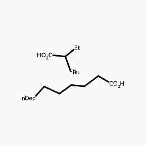 CCCCC(CC)C(=O)O.CCCCCCCCCCCCCCCC(=O)O